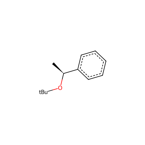 C[C@H](OC(C)(C)C)c1ccccc1